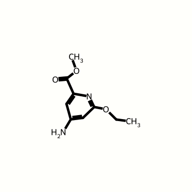 CCOc1cc(N)cc(C(=O)OC)n1